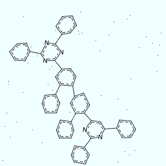 c1ccc(-c2cc(-c3ccc(-c4ccc(-c5nc(-c6ccccc6)nc(-c6ccccc6)n5)cc4-c4ccccc4)cc3-c3ccccc3)nc(-c3ccccc3)n2)cc1